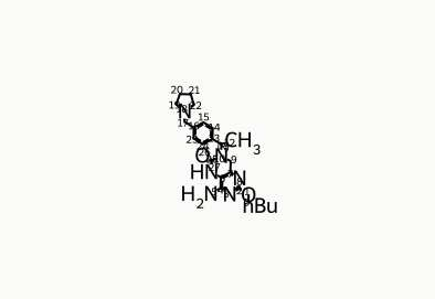 CCCCOc1nc(N)c2c(n1)CN([C@H](C)c1ccc(CN3CCCC3)cc1)C(=O)N2